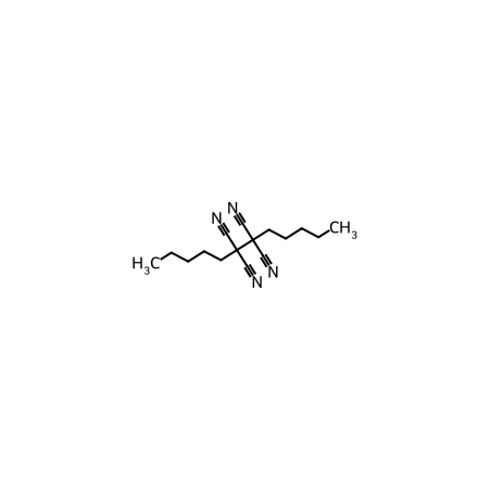 CCCCCC(C#N)(C#N)C(C#N)(C#N)CCCCC